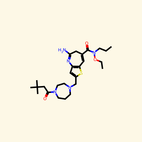 CCCN(OCC)C(=O)C1=Cc2sc(CN3CCCN(C(=O)CC(C)(C)C)CC3)cc2N=C(N)C1